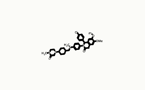 COc1cc2c(cc1OC(C)C)C(c1ccc(Cl)cc1)N(c1ccc(N(C)CC3CCC(N4CCN(C)C(=O)C4)CC3)cc1)C(=O)C2